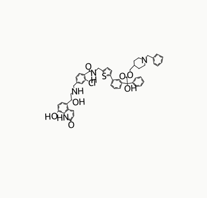 O=C(NCc1ccc(-c2cccc(C(O)(C(=O)OCC3CCN(Cc4ccccc4)CC3)c3ccccc3)c2)s1)c1ccc(CNC[C@H](O)c2ccc(O)c3[nH]c(=O)ccc23)cc1Cl